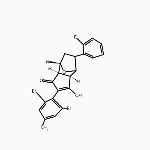 CCc1cc(C)cc(CC)c1C1=C(O)[C@@H]2C3O[C@@H](CC3c3ccccc3F)[C@@H]2C1=O